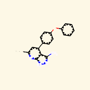 COc1cc(-c2ccc(Oc3ccccc3)cc2)c2c(N)n[nH]c2n1